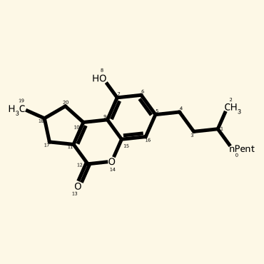 CCCCCC(C)CCc1cc(O)c2c3c(c(=O)oc2c1)CC(C)C3